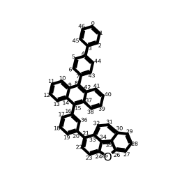 c1ccc(-c2ccc(-c3c4ccccc4c(-c4cccc(-c5ccc6oc7cccc8ccc5c6c87)c4)c4ccccc34)cc2)cc1